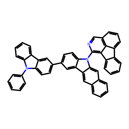 c1ccc(-n2c3ccccc3c3cc(-c4ccc5c(c4)c4cc6ccccc6cc4n5-c4ncc5cccc6c5c4-c4ccccc4-6)ccc32)cc1